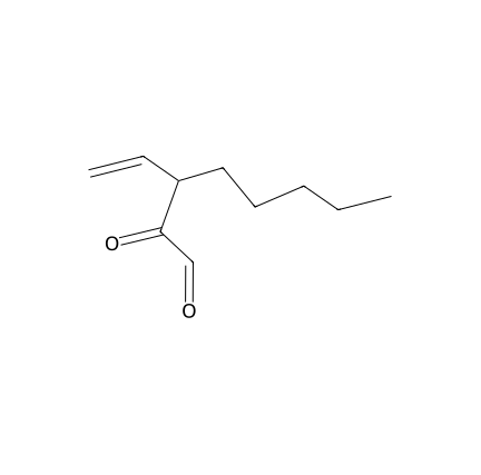 C=CC(CCCCC)C(=O)C=O